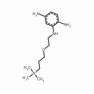 C[N+](C)(C)CCCOCCNc1cc(N)ccc1N